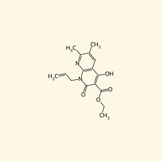 C=CCn1c(=O)c(C(=O)OCC)c(O)c2cc(C)c(C)nc21